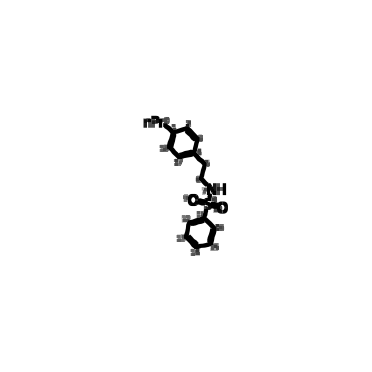 CCCc1ccc(CCNS(=O)(=O)c2ccccc2)cc1